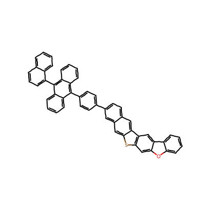 c1ccc2c(-c3c4ccccc4c(-c4ccc(-c5ccc6cc7c(cc6c5)sc5cc6oc8ccccc8c6cc57)cc4)c4ccccc34)cccc2c1